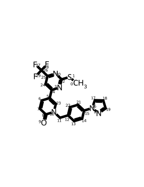 CSc1nc(-c2ccc(=O)n(Cc3ccc(-n4cccn4)cc3)c2)cc(C(F)(F)F)n1